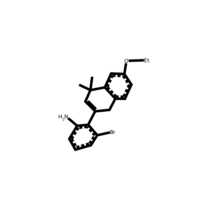 CCOc1ccc2c(c1)C(C)(C)C=C(c1c(N)cccc1Br)C2